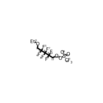 CCOCC(F)(F)C(F)(F)C(F)(F)COOS(=O)(=O)C(F)(F)F